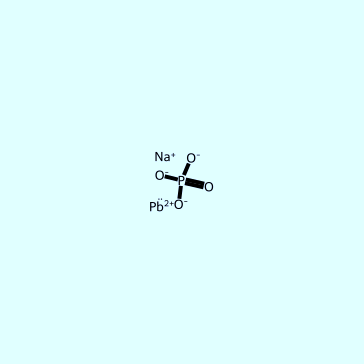 O=P([O-])([O-])[O-].[Na+].[Pb+2]